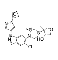 C[C@H]1CN(C2(C)COCC2O)CCN1c1cc2c(cnn2-c2cnn(C34CC(C3)C4)c2)cc1Cl